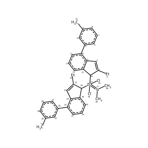 CCC1=Cc2c(-c3cccc(C)c3)cccc2[CH]1[Zr]([Cl])([Cl])([CH]1C(CC)=Cc2c(-c3cccc(C)c3)cccc21)=[Si](C)C